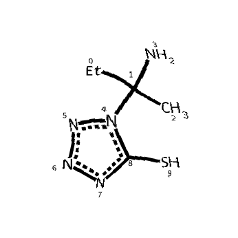 CCC(C)(N)n1nnnc1S